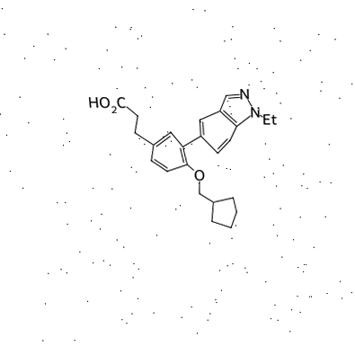 CCn1ncc2cc(-c3cc(CCC(=O)O)ccc3OCC3CCCC3)ccc21